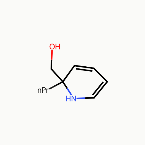 CCCC1(CO)C=CC=CN1